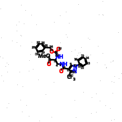 COC(=O)C(CNC(=O)c1cn(-c2ccccc2)nc1C(F)(F)F)NC(=O)OCc1ccccc1